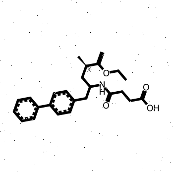 C=C(OCC)[C@H](C)CC(Cc1ccc(-c2ccccc2)cc1)NC(=O)CCC(=O)O